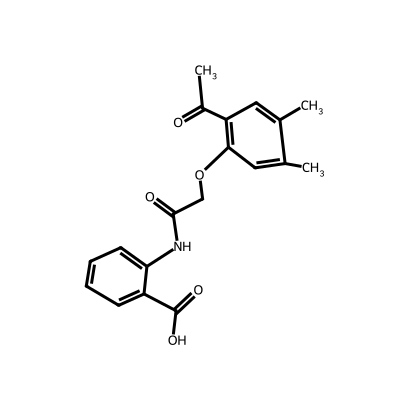 CC(=O)c1cc(C)c(C)cc1OCC(=O)Nc1ccccc1C(=O)O